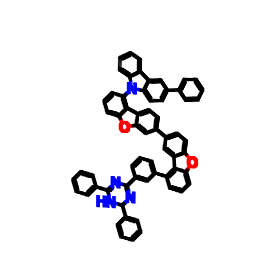 c1ccc(C2=NC(c3cccc(-c4cccc5oc6ccc(-c7ccc8c(c7)oc7cccc(-n9c%10ccccc%10c%10cc(-c%11ccccc%11)ccc%109)c78)cc6c45)c3)=NC(c3ccccc3)N2)cc1